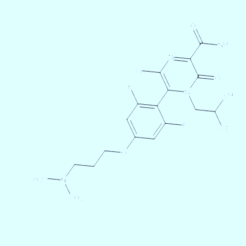 CC(Cn1c(-c2c(F)cc(OCCCN(C)C)cc2F)c(Cl)nc(C(N)=O)c1=O)C(F)(F)F